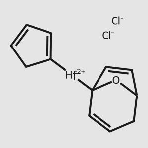 C1=CC[C]([Hf+2][C]23C=CCC(C=C2)O3)=C1.[Cl-].[Cl-]